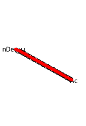 CCCCCCCCCCCCCC(=O)NCCOCCOCCOCCOCCOCCOCCOCCOCCOCCOCCOCCOCCOCCOCCOCCOCCOCCOCCOCCOCCOCCOCCOCCOCCOCCOCCOCCOCCOCCOCCOCCOCCOCCOCCOCCOCCC(C)=O